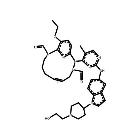 CCOc1ccc2nc1N(C=O)CCC/C=C\CN(C=O)N2c1nc(Nc2ccc3c(ccn3C3CCN(CCO)CC3)c2)ncc1C